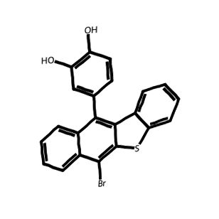 Oc1ccc(-c2c3ccccc3c(Br)c3sc4ccccc4c23)cc1O